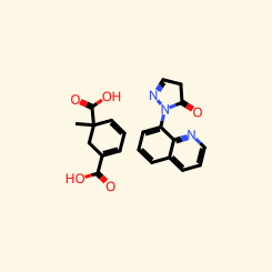 CC1(C(=O)O)C=CC=C(C(=O)O)C1.O=C1CC=NN1c1cccc2cccnc12